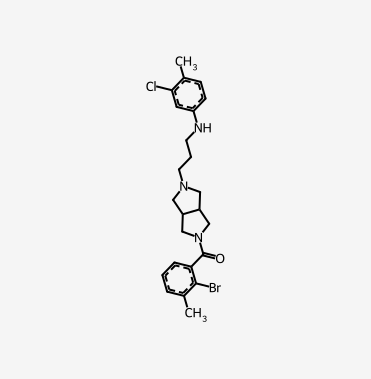 Cc1ccc(NCCCN2CC3CN(C(=O)c4cccc(C)c4Br)CC3C2)cc1Cl